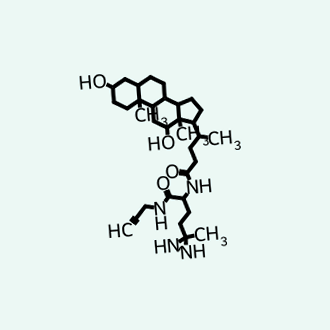 C#CCNC(=O)C(CCC1(C)NN1)NC(=O)CCC(C)C1CCC2C3CCC4CC(O)CCC4(C)C3CC(O)C12C